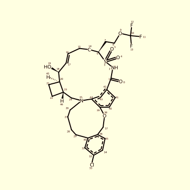 O=C1NS(=O)(=O)[C@H](CCOC(F)(F)F)CC/C=C/[C@H](O)[C@@H]2CC[C@H]2CN2CCCCc3cc(Cl)ccc3COc3ccc1cc32